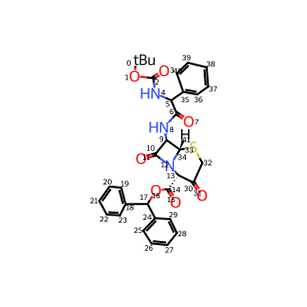 CC(C)(C)OC(=O)NC(C(=O)N[C@@H]1C(=O)N2[C@@H](C(=O)OC(c3ccccc3)c3ccccc3)C(=O)CS[C@@H]12)c1ccccc1